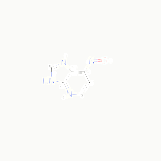 O=Nc1ccnc2[nH]cnc12